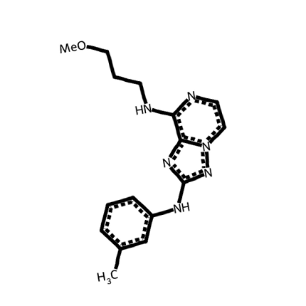 COCCCNc1nccn2nc(Nc3cccc(C)c3)nc12